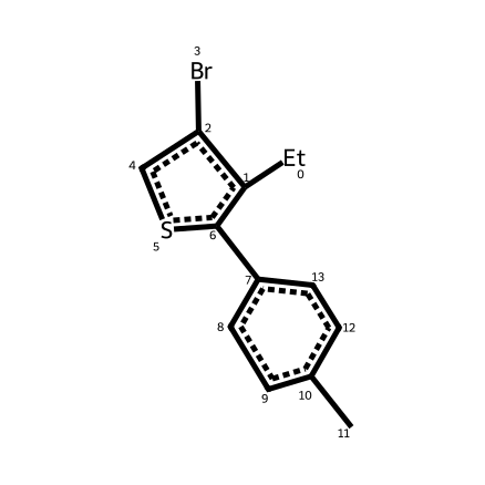 CCc1c(Br)csc1-c1ccc(C)cc1